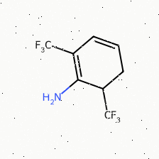 NC1=C(C(F)(F)F)C=CCC1C(F)(F)F